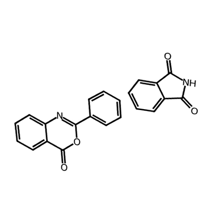 O=C1NC(=O)c2ccccc21.O=c1oc(-c2ccccc2)nc2ccccc12